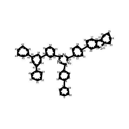 c1ccc(-c2ccc(-c3nc(-c4ccc(-c5ccc6c(c5)sc5ccccc56)cc4)nc(-c4cccc(-c5cc(-c6ccccc6)cc(-c6ccccc6)c5)c4)n3)cc2)cc1